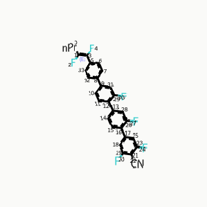 CCC/C(F)=C(\F)c1ccc(-c2ccc(-c3ccc(-c4cc(F)c(C#N)c(F)c4)c(F)c3)c(F)c2)cc1